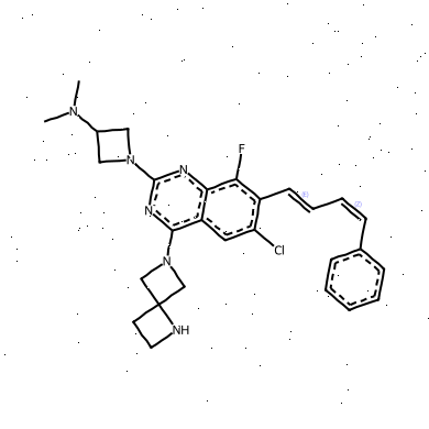 CN(C)C1CN(c2nc(N3CC4(CCN4)C3)c3cc(Cl)c(/C=C/C=C\c4ccccc4)c(F)c3n2)C1